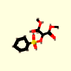 COC(=O)C(OS(=O)(=O)c1ccccc1)C(=O)OC